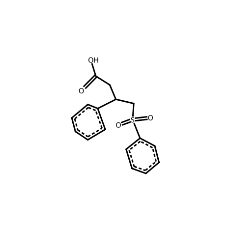 O=C(O)CC(CS(=O)(=O)c1ccccc1)c1ccccc1